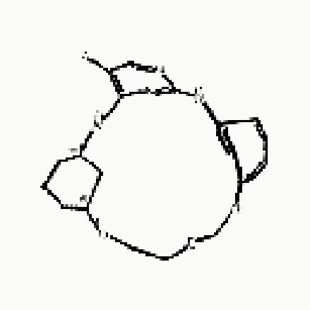 Fc1cnc2nc1N[C@@H]1CCC[C@H](C1)OCCCCOc1cccc(c1)N2